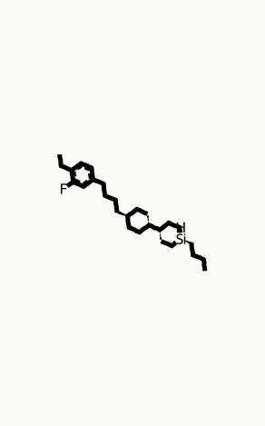 CCCC[Si@H]1CC[C@H]([C@H]2CC[C@H](CCCCc3ccc(CC)c(F)c3)CC2)CC1